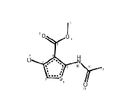 COC(=O)c1c(Cl)csc1NC(C)=O